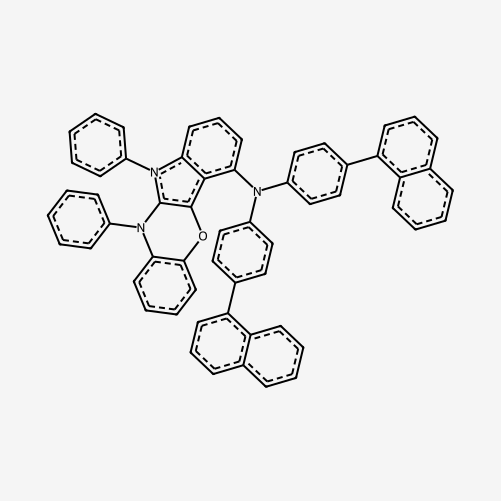 c1ccc(N2c3ccccc3Oc3c2n(-c2ccccc2)c2cccc(N(c4ccc(-c5cccc6ccccc56)cc4)c4ccc(-c5cccc6ccccc56)cc4)c32)cc1